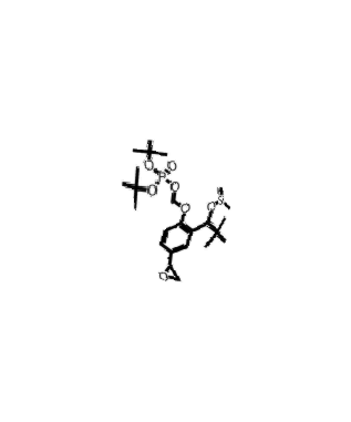 C[SiH](C)OC(c1cc(C2CO2)ccc1OCOP(=O)(OC(C)(C)C)OC(C)(C)C)C(C)(C)C